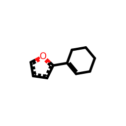 C1=C(c2ccco2)CCCC1